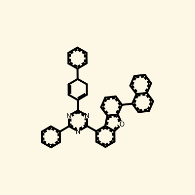 C1=CC(c2ccccc2)CC=C1c1nc(-c2ccccc2)nc(-c2cccc3oc4c(-c5cccc6ccccc56)cccc4c23)n1